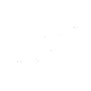 C=CC(=O)OCC(=O)OC1OC(=O)C(C)C1C